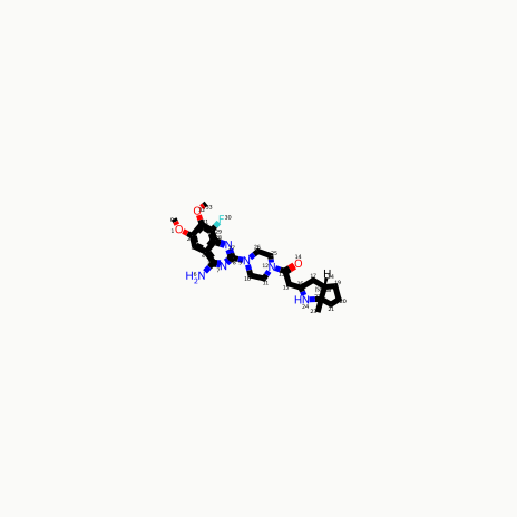 COc1cc2c(N)nc(N3CCN(C(=O)CC4C[C@@H]5CCCC5(C)N4)CC3)nc2c(F)c1OC